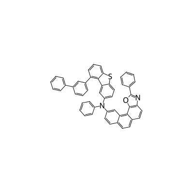 c1ccc(-c2cccc(-c3cccc4sc5ccc(N(c6ccccc6)c6ccc7ccc8ccc9nc(-c%10ccccc%10)oc9c8c7c6)cc5c34)c2)cc1